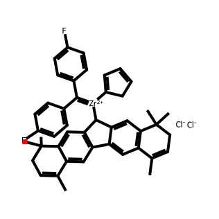 CC1=CCC(C)(C)c2cc3c(cc21)-c1cc2c(cc1[CH]3[Zr+2]([C]1=CC=CC1)=[C](c1ccc(F)cc1)c1ccc(F)cc1)C(C)(C)CC=C2C.[Cl-].[Cl-]